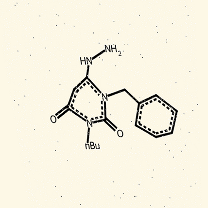 CCCCn1c(=O)cc(NN)n(Cc2ccccc2)c1=O